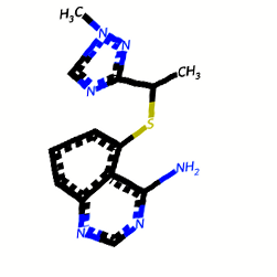 CC(Sc1cccc2ncnc(N)c12)c1ncn(C)n1